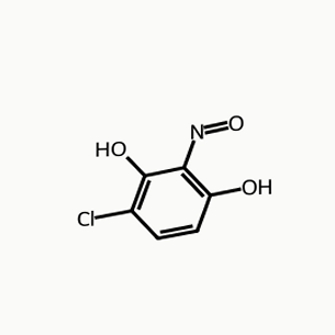 O=Nc1c(O)ccc(Cl)c1O